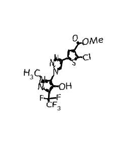 COC(=O)c1cc(-c2cn(-c3c(O)c(C(F)(F)C(F)(F)F)nn3C)nn2)sc1Cl